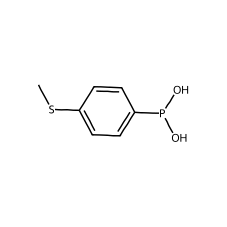 CSc1ccc(P(O)O)cc1